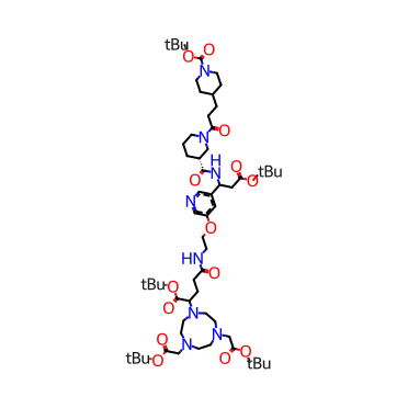 CC(C)(C)OC(=O)CC(NC(=O)[C@@H]1CCCN(C(=O)CCC2CCN(C(=O)OC(C)(C)C)CC2)C1)c1cncc(OCCNC(=O)CCC(C(=O)OC(C)(C)C)N2CCN(CC(=O)OC(C)(C)C)CCN(CC(=O)OC(C)(C)C)CC2)c1